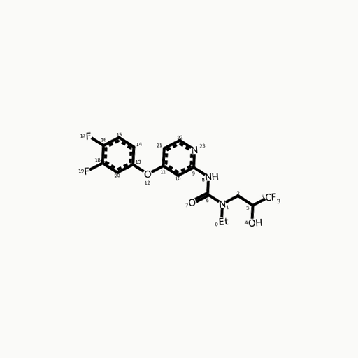 CCN(CC(O)C(F)(F)F)C(=O)Nc1cc(Oc2ccc(F)c(F)c2)ccn1